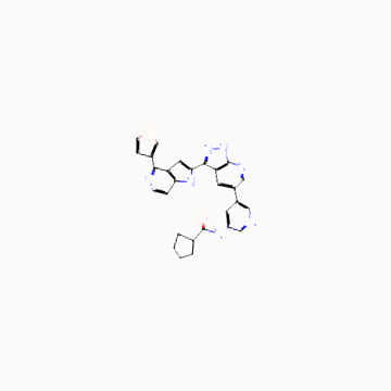 O=C(Nc1cncc(-c2cnc3[nH]nc(-c4cc5c(-c6ccoc6)nccc5[nH]4)c3c2)c1)C1CCCC1